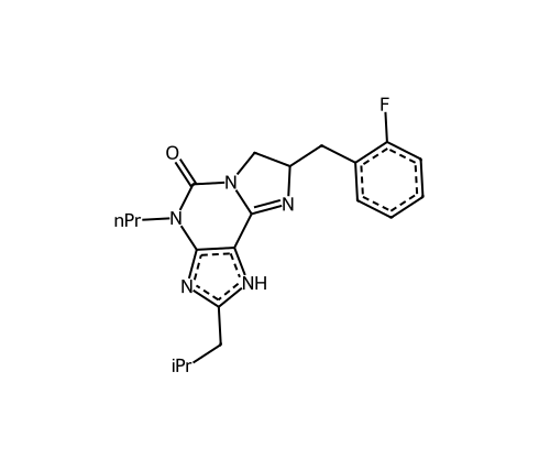 CCCN1C(=O)N2CC(Cc3ccccc3F)N=C2c2[nH]c(CC(C)C)nc21